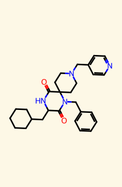 O=C1C(CC2CCCCC2)NC(=O)C2(CCN(Cc3ccncc3)CC2)N1Cc1ccccc1